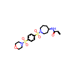 C=CC(=O)NC1CCCN(S(=O)(=O)c2ccc(S(=O)(=O)N3CCOCC3)cc2)CC1